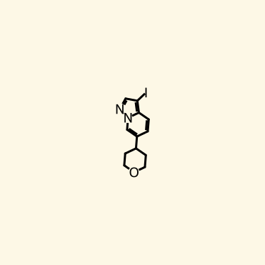 Ic1cnn2cc(C3CCOCC3)ccc12